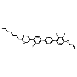 C=CCOc1ccc(-c2ccc(-c3ccc(C4COC(CCCCCCC)OC4)c(F)c3)cc2)c(F)c1F